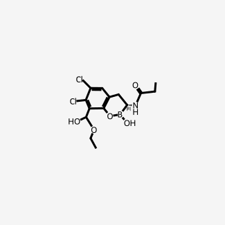 CCOC(O)c1c(Cl)c(Cl)cc2c1OB(O)[C@@H](NC(=O)CC)C2